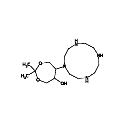 CC1(C)OCC(O)C(N2CCNCCNCCNCC2)CO1